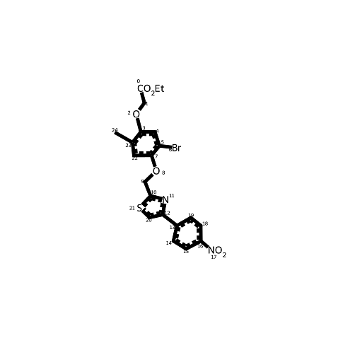 CCOC(=O)COc1cc(Br)c(OCc2nc(-c3ccc([N+](=O)[O-])cc3)cs2)cc1C